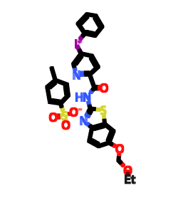 CCOCOc1ccc2nc(NC(=O)c3ccc([I+]c4ccccc4)cn3)sc2c1.Cc1ccc(S(=O)(=O)[O-])cc1